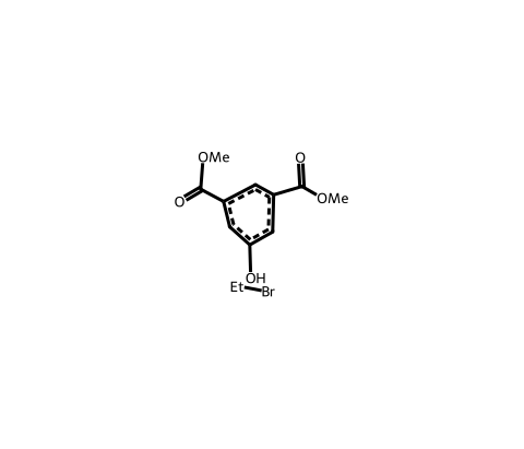 CCBr.COC(=O)c1cc(O)cc(C(=O)OC)c1